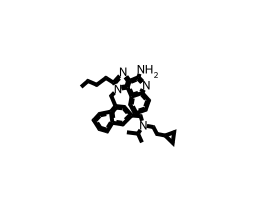 CCCCc1nc2c(N)nc3ccccc3c2n1Cc1cc(CN(CCC2CC2)C(C)C)cc2ccccc12